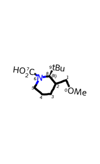 COCC1CCCN(C(=O)O)[C@H]1C(C)(C)C